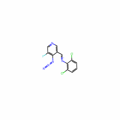 [N-]=[N+]=Nc1c(F)cncc1/C=N/c1c(Cl)cccc1Cl